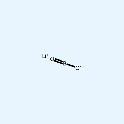 O=B[O-].[Li+]